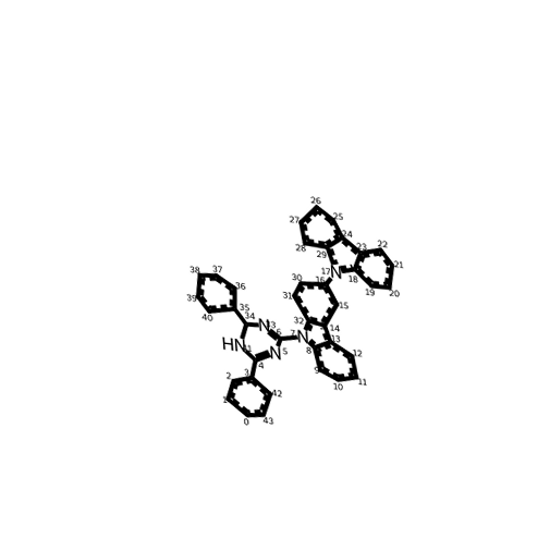 c1ccc(C2=NC(n3c4ccccc4c4cc(-n5c6ccccc6c6ccccc65)ccc43)=NC(c3ccccc3)N2)cc1